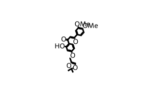 COc1ccc(-c2cc(=O)c3c(O)cc(OCC4=COC(C)(C)O4)cc3o2)cc1OC